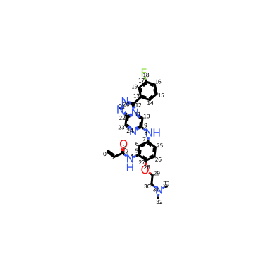 C=CC(=O)Nc1cc(Nc2cn3c(-c4cccc(F)c4)nnc3cn2)ccc1OCCN(C)C